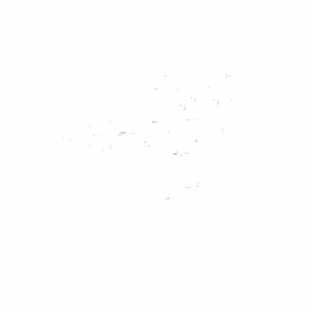 CC(C)(C#Cc1nc([C@@H](N)Cc2cc(F)cc(F)c2)c(-c2ccc(Cl)c3c(N(S(C)(=O)=O)S(C)(=O)=O)nn(CC(F)(F)F)c23)c2c1CCC2)S(C)(=O)=O